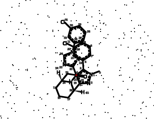 Cn1nc2c(c1-c1cccc(Cl)c1)C[C@@H]1CCC[C@H]2N1C(=O)c1ncn(-c2cccc(Cl)c2)n1